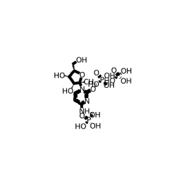 C[C@@]1(n2ccc(N)nc2=O)O[C@H](CO)[C@@H](O)[C@H]1O.O=P(O)(O)O.O=P(O)(O)O.O=P(O)(O)O